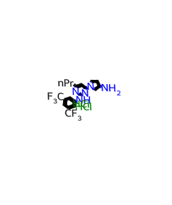 CCCc1cc(N2CCC(N)C2)nc(Nc2cc(C(F)(F)F)cc(C(F)(F)F)c2)n1.Cl.Cl